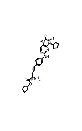 CC[C@@H]1C(=O)N(C)c2cnc(Nc3ccc(/C=C/C[C@H](N)C(=O)OC4CCCC4)cc3)nc2N1C1CCCC1